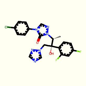 C[C@@H](n1ncn(-c2ccc(Cl)cc2)c1=O)[C@](O)(Cn1cncn1)c1ccc(F)cc1F